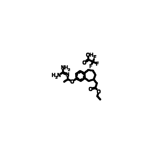 CCOC(=O)CC1CCCc2ccc(OC(C)N=C(N)N)cc2C1.O=C(O)C(F)(F)F